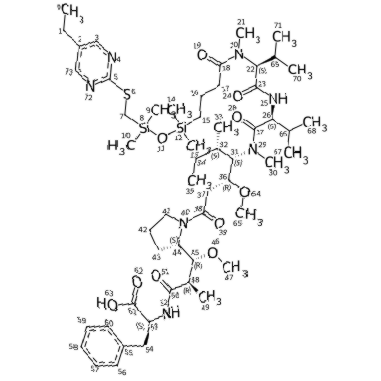 CCc1cnc(SC[Si](C)(C)O[Si](C)(C)CCCC(=O)N(C)[C@H](C(=O)N[C@H](C(=O)N(C)[C@@H]([C@@H](C)CC)[C@@H](CC(=O)N2CCC[C@H]2[C@H](OC)[C@@H](C)C(=O)N[C@@H](Cc2ccccc2)C(=O)O)OC)C(C)C)C(C)C)nc1